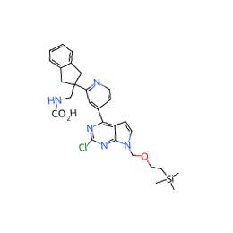 C[Si](C)(C)CCOCn1ccc2c(-c3ccnc(C4(CNC(=O)O)Cc5ccccc5C4)c3)nc(Cl)nc21